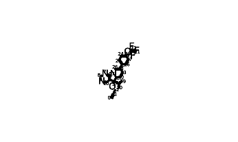 C#CCOC(c1cncnc1)(c1ccc(-c2ccc(OC(F)(F)F)cc2)cn1)C(C)C